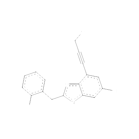 OCC#Cc1cc(Cl)cc2nc(Cc3ccccc3F)oc12